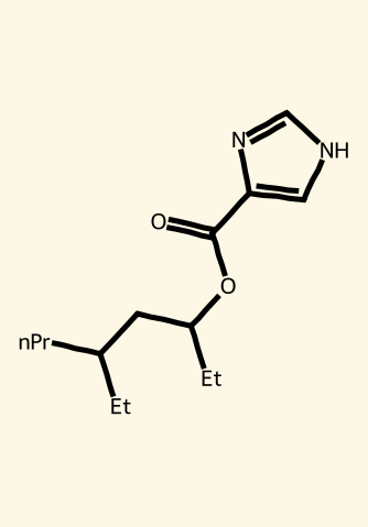 CCCC(CC)CC(CC)OC(=O)c1c[nH]cn1